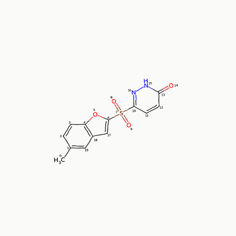 Cc1ccc2oc(S(=O)(=O)c3ccc(=O)[nH]n3)cc2c1